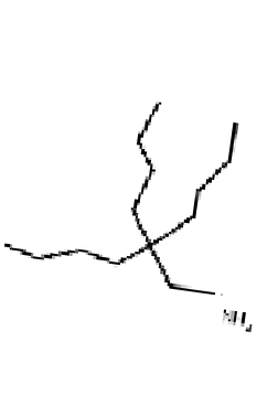 N.[CH2]CC(CCCC)(CCCC)CCCC